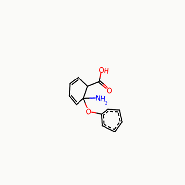 NC1(Oc2ccccc2)C=CC=CC1C(=O)O